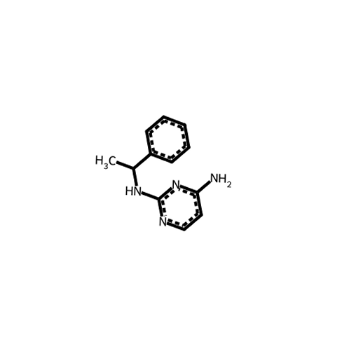 CC(Nc1nccc(N)n1)c1ccccc1